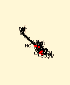 CC1(C)C=C(CS(=O)(=O)O)c2cc3c(c4c2N1CCC4)Oc1c(cc2c4c1CCCN4C(C)(C)CC2CS(=O)(=O)O)C31c2c(Cl)c(Cl)c(Cl)c(Cl)c2C(=O)N1NC(=O)CCOCCOCCOCCOCCC(=O)Oc1c(F)c(F)cc(F)c1F